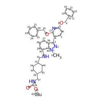 Cn1nc(-c2ccc(OCc3ccccc3)nc2OCc2ccccc2)c2cccc(NCC3CCC(CNC(=O)OC(C)(C)C)CC3)c21